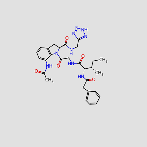 CC[C@H](C)[C@H](NC(=O)Cc1ccccc1)C(=O)NCC(=O)N1c2c(cccc2NC(C)=O)C[C@H]1C(=O)NCc1nn[nH]n1